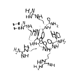 C[C@@H](N)C(=O)N[C@H](CCCNC(=N)N)C(=O)N[C@H](CCCNC(=N)N)C(=O)N[C@H](CCCNC(=N)N)C(=O)N[C@H](C)C(=O)N[C@H](CCCNC(=N)N)C(N)=O.Cl